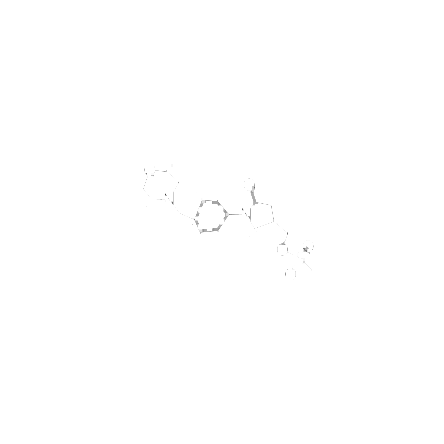 CS(=O)(=O)OCC1CC(=O)N(c2ccc(CN3CCOCC3)cc2)C1